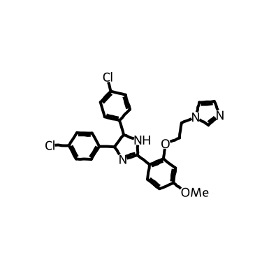 COc1ccc(C2=NC(c3ccc(Cl)cc3)C(c3ccc(Cl)cc3)N2)c(OCCn2ccnc2)c1